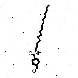 CCCCCCCCCCCCCCCCNC(=O)c1ccc(C=O)cc1